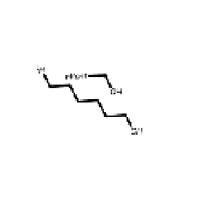 CCCCCCO.[2H]CCCCCCO